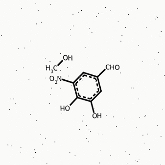 CO.O=Cc1cc(O)c(O)c([N+](=O)[O-])c1